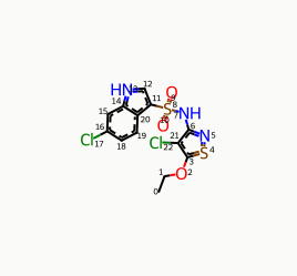 CCOc1snc(NS(=O)(=O)c2c[nH]c3cc(Cl)ccc23)c1Cl